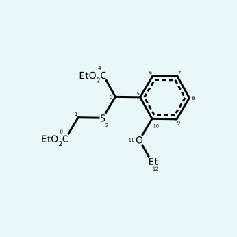 CCOC(=O)CSC(C(=O)OCC)c1ccccc1OCC